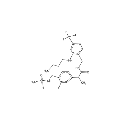 CCCCNc1nc(C(F)(F)F)ccc1CNC(=O)C(C)c1ccc(CNS(C)(=O)=O)c(F)c1